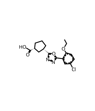 CCOc1ccc(Cl)cc1-c1nnc([C@H]2CCC[C@@H](C(=O)O)C2)o1